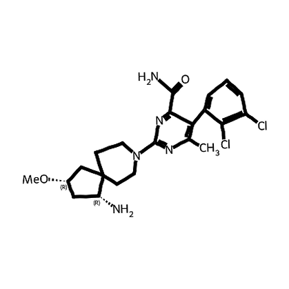 CO[C@H]1C[C@@H](N)C2(CCN(c3nc(C)c(-c4cccc(Cl)c4Cl)c(C(N)=O)n3)CC2)C1